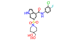 O=C(Nc1ccc(F)c(Cl)c1)c1cc(S(=O)(=O)N2CCC(O)(CO)CC2)cc2[nH]ccc12